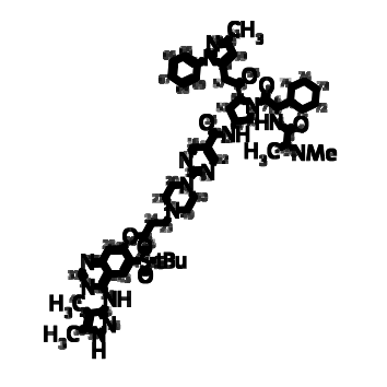 CN[C@@H](C)C(=O)N[C@H](C(=O)N1C[C@@H](NC(=O)c2cnc(N3CCN(CCCOc4cc5ncnc(Nc6n[nH]c(C)c6C)c5cc4S(=O)(=O)C(C)(C)C)CC3)nc2)C[C@H]1C(=O)Cc1cc(C)nn1-c1ccccc1)C1CCCCC1